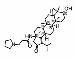 CC(C)C1=C2[C@H]3CC[C@@H]4[C@@]5(C)CC[C@H](O)C(C)(C)[C@@H]5CC[C@@]4(C)[C@]3(C)CC[C@@]2(NC(=O)CCN2CCCC2)CC1=O